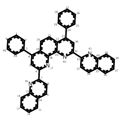 c1ccc(-c2cc(-c3ccc4ccccc4n3)nc3c2ccc2c(-c4ccccc4)cc(-c4ccc5ccccc5n4)nc23)cc1